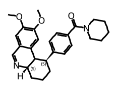 COc1cc2c(cc1OC)C1[C@H](CCC[C@@H]1c1ccc(C(=O)N3CCCCC3)cc1)N=C2